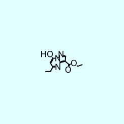 CCOC(=O)c1cnn2c(O)cc(CC)nc12